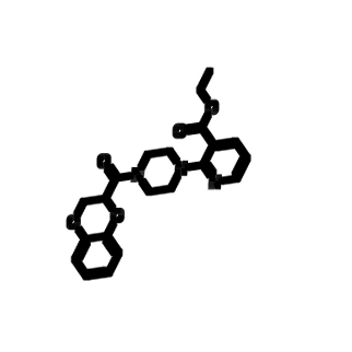 CCOC(=O)c1cccnc1N1CCN(C(=O)C2COc3ccccc3O2)CC1